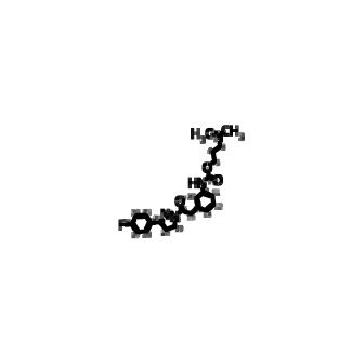 CN(C)CCCOC(=O)Nc1cccc(CC(=O)N2CCC(c3ccc(F)cc3)=N2)c1